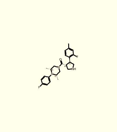 Cc1ccc([C@H]2CNC[C@@H]2C(=O)N2C[C@@H](C)N(c3ccc(F)cc3)[C@@H](C)C2)c(F)c1